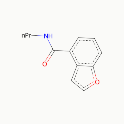 [CH2]CCNC(=O)c1cccc2occc12